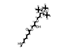 CNCCCCCC(=O)OCC(O)COCCC[Si](OC(C)(C)C)(OC(C)(C)C)OC(C)(C)C